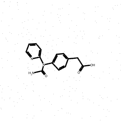 NC(=O)N(c1ccc(CC(=O)O)cc1)c1ccccn1